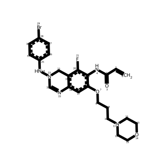 C=CC(=O)Nc1c(OCCCN2CCOCC2)cc2c(c1F)CN(Nc1ccc(Br)cc1)C=N2